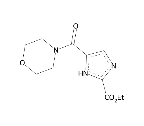 CCOC(=O)c1ncc(C(=O)N2CCOCC2)[nH]1